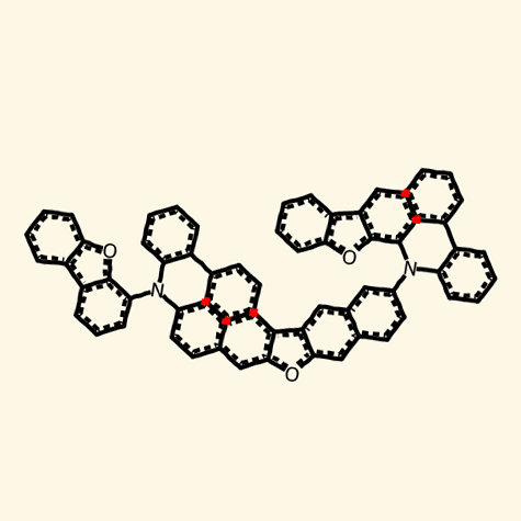 c1ccc(-c2ccccc2N(c2ccc3cc4oc5cc6ccc(N(c7ccccc7-c7ccccc7)c7cccc8c7oc7ccccc78)cc6cc5c4cc3c2)c2cccc3c2oc2ccccc23)cc1